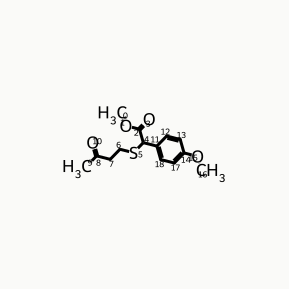 COC(=O)C(SCCC(C)=O)c1ccc(OC)cc1